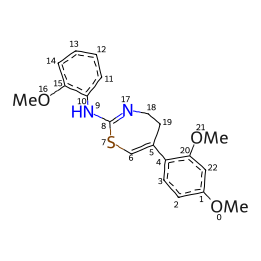 COc1ccc(C2=CSC(Nc3ccccc3OC)=NCC2)c(OC)c1